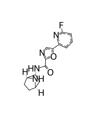 O=C(N[C@@H]1C[C@H]2CC[C@@H]1N2)c1ncc(-c2cccc(F)n2)o1